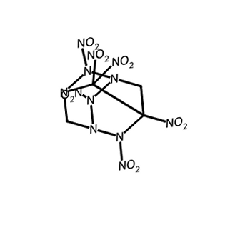 O=[N+]([O-])N1N2CC3([N+](=O)[O-])N([N+](=O)[O-])N1CN(N2[N+](=O)[O-])C3([N+](=O)[O-])[N+](=O)[O-]